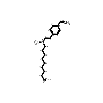 C=Cc1ccc(CCN(C)CCCCCCCCCCCCCCCCCC)cc1